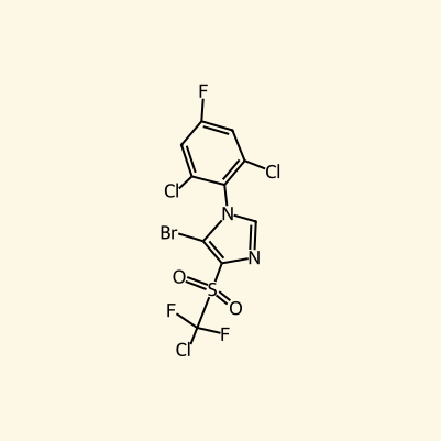 O=S(=O)(c1ncn(-c2c(Cl)cc(F)cc2Cl)c1Br)C(F)(F)Cl